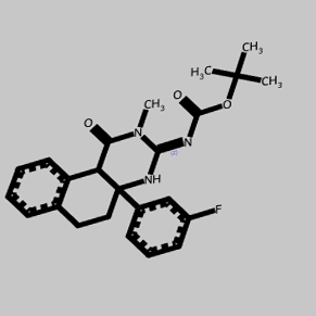 CN1C(=O)C2c3ccccc3CCC2(c2cccc(F)c2)N/C1=N/C(=O)OC(C)(C)C